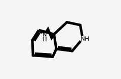 C1=CC2=CNCCC23CCNC3=C1